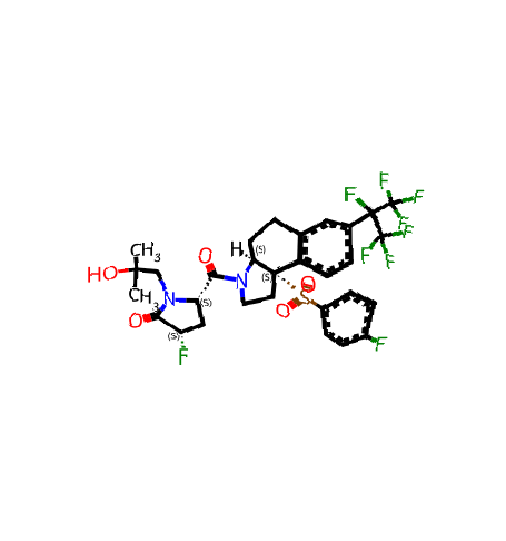 CC(C)(O)CN1C(=O)[C@@H](F)C[C@H]1C(=O)N1CC[C@]2(S(=O)(=O)c3ccc(F)cc3)c3ccc(C(F)(C(F)(F)F)C(F)(F)F)cc3CC[C@H]12